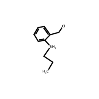 CCC[SiH2]c1ccccc1CCl